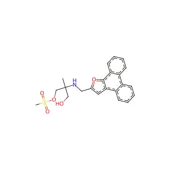 CC(CO)(COS(C)(=O)=O)NCc1cc2c3ccccc3c3ccccc3c2o1